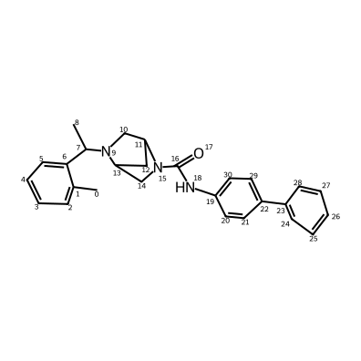 Cc1ccccc1C(C)N1CC2CC1CN2C(=O)Nc1ccc(-c2ccccc2)cc1